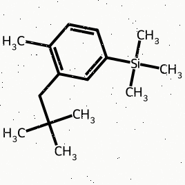 Cc1ccc([Si](C)(C)C)cc1CC(C)(C)C